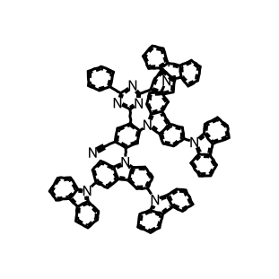 N#Cc1cc(-c2nc(-c3ccccc3)nc(-c3ccccc3)n2)c(-n2c3ccc(-n4c5ccccc5c5ccccc54)cc3c3cc(-n4c5ccccc5c5ccccc54)ccc32)cc1-n1c2ccc(-n3c4ccccc4c4ccccc43)cc2c2cc(-n3c4ccccc4c4ccccc43)ccc21